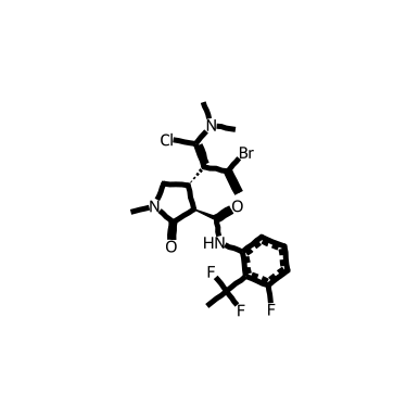 C=C(Br)/C(=C(/Cl)N(C)C)[C@H]1CN(C)C(=O)[C@@H]1C(=O)Nc1cccc(F)c1C(C)(F)F